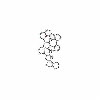 c1ccc(-c2nc3ccc4ccccc4c3nc2-n2c3cccc4c5cccc6c7ccccc7n(c7c(-c8ccccc8)ccc2c7c43)c56)cc1